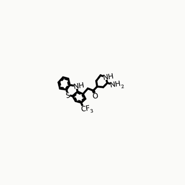 NC1CC(C(=O)Cc2cc(C(F)(F)F)cc3c2Nc2ccccc2S3)CCN1